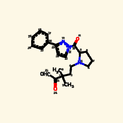 CC(C)(CCN1CCCC1C(=O)n1ccc(-c2ccccc2)n1)C(=O)C=O